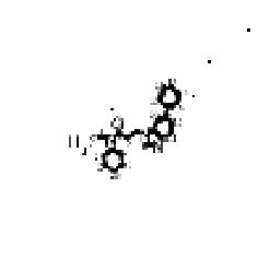 CCN(C(=O)CCn1cnc2ccc(-c3ccccc3)cc21)C1CCCCC1